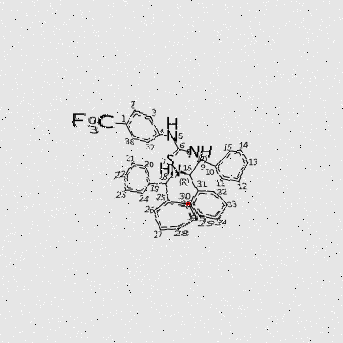 FC(F)(F)c1ccc(NC(=S)N[C@H](c2ccccc2)[C@H](NC(c2ccccc2)c2ccccc2)c2ccccc2)cc1